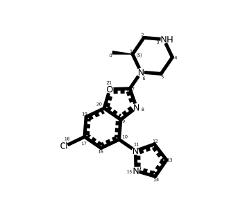 C[C@H]1CNCCN1c1nc2c(-n3cccn3)cc(Cl)cc2o1